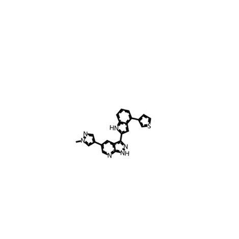 Cn1cc(-c2cnc3[nH]nc(-c4cc5c(-c6ccsc6)cccc5[nH]4)c3c2)cn1